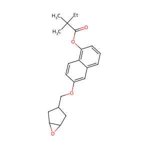 CCC(C)(C)C(=O)Oc1cccc2cc(OCC3CC4OC4C3)ccc12